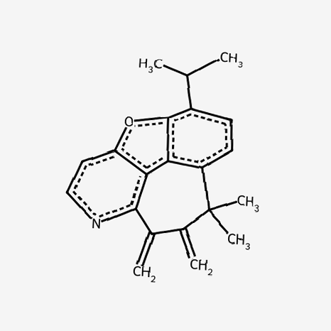 C=C1C(=C)C(C)(C)c2ccc(C(C)C)c3oc4ccnc1c4c23